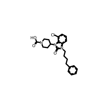 O=C(O)N1CCC(n2c(=O)n(CCCCc3ccccc3)c3cccc(Cl)c32)CC1